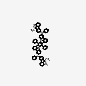 CC1(C)c2ccccc2-c2cc(N(c3ccccc3)c3ccc4c(c3)c3cccc5c6c(-c7ccccc7)c7c(c(-c8ccccc8)c6n4c35)c3cccc4c5cc(N(c6ccccc6)c6ccc8c(c6)-c6ccccc6C8(C)C)ccc5n7c43)ccc21